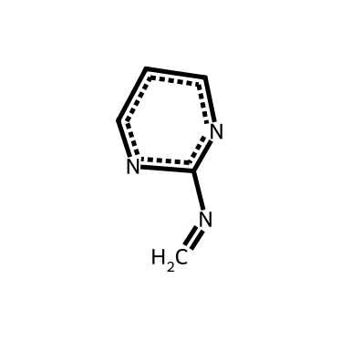 C=Nc1ncccn1